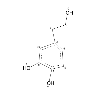 OC[CH]c1ccc(O)c(O)c1